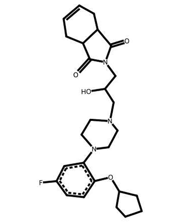 O=C1C2CC=CCC2C(=O)N1CC(O)CN1CCN(c2cc(F)ccc2OC2CCCC2)CC1